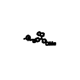 COc1ccc(C(c2ccc(OCCN3CCCC(C)C3)cc2)c2cccc3ccccc23)cc1